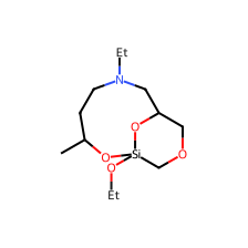 CCO[Si]12COCC(CN(CC)CCC(C)O1)O2